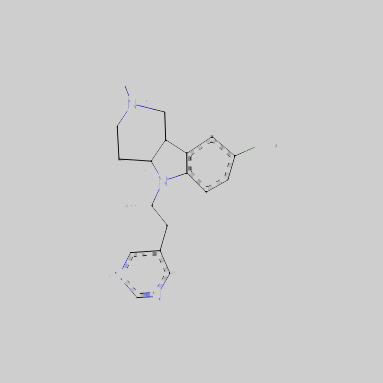 C[C@@H](Cc1cncnc1)N1c2ccc(Cl)cc2C2CN(C)CCC21